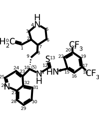 C=CC1CNCCC1CC[C@H](NC(=S)Nc1cc(C(F)(F)F)cc(C(F)(F)F)c1)c1ccnc2ccccc12